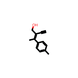 C#C/C(CO)=C(/C)c1ccc(C)cc1